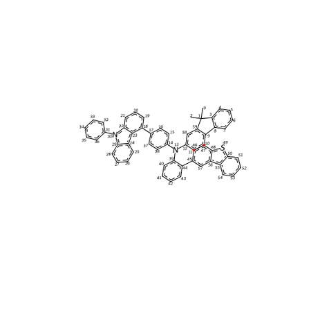 CC1(C)c2ccccc2-c2ccc(N(c3ccc(-c4cccc5c4c4ccccc4n5-c4ccccc4)cc3)c3ccccc3-c3ccc4sc5ccccc5c4c3)cc21